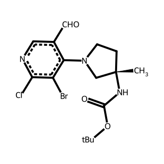 CC(C)(C)OC(=O)N[C@@]1(C)CCN(c2c(C=O)cnc(Cl)c2Br)C1